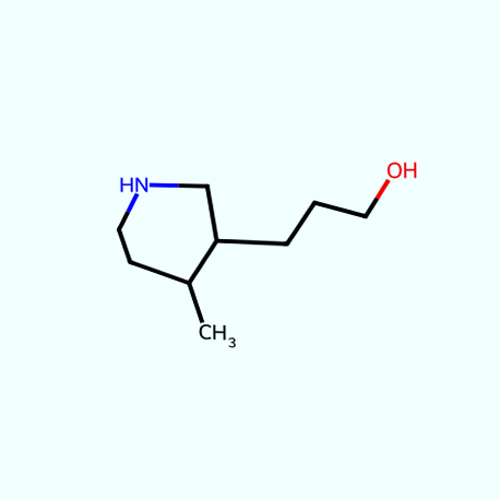 CC1CCNCC1CCCO